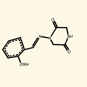 COc1ccccc1C=NN1CC(=O)NCC1=O